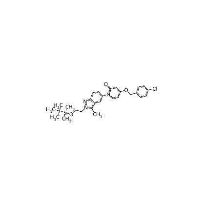 Cc1c2cc(-n3ccc(OCc4ccc(Cl)cc4)cc3=O)ccc2nn1CCO[Si](C)(C)C(C)(C)C